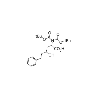 CC(C)(C)OC(=O)N(C(=O)OC(C)(C)C)C(CC(O)CCc1ccccc1)C(=O)O